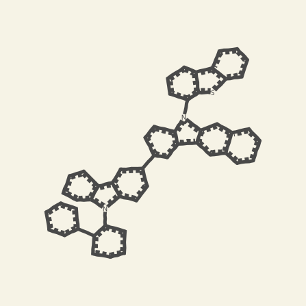 c1ccc(-c2ccccc2-n2c3ccccc3c3cc(-c4ccc5c(c4)c4cc6ccccc6cc4n5-c4cccc5c4sc4ccccc45)ccc32)cc1